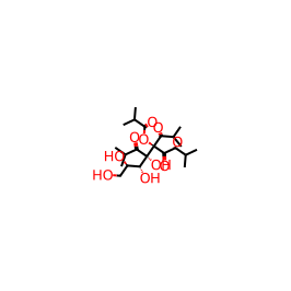 CC(C)C(=O)O[C@](C(=O)C(=O)C(C)C)(C(=O)C(C)C)[C@](O)(C(=O)C(C)C)[C@H](O)[C@H](O)CO